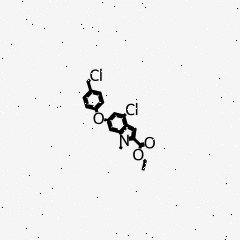 CCOC(=O)c1cc2c(Cl)cc(Oc3ccc(CCl)cc3)cc2n1C